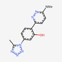 CNc1ccc(-c2ccc(-n3nnnc3C)cc2O)nn1